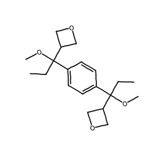 CCC(OC)(c1ccc(C(CC)(OC)C2COC2)cc1)C1COC1